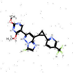 COc1ncc(-c2cc(C3CC3c3ccc(C(F)(F)F)cn3)c3ncc(F)n3n2)c(OC)n1